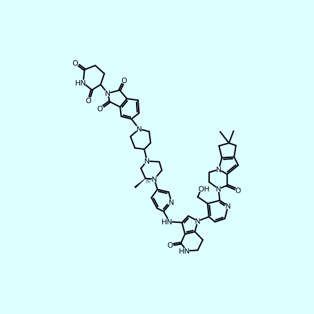 C[C@H]1CN(C2CCN(c3ccc4c(c3)C(=O)N(C3CCC(=O)NC3=O)C4=O)CC2)CCN1c1ccc(Nc2cn(-c3ccnc(N4CCn5c(cc6c5CC(C)(C)C6)C4=O)c3CO)c3c2C(=O)NCC3)nc1